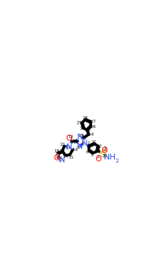 NS(=O)(=O)c1ccc(-n2nc(C(=O)N3CCc4nocc4C3)nc2Cc2ccccc2)cc1